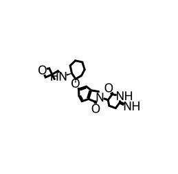 CC1(CN[C@H]2CCCCC[C@@H]2Oc2ccc3c(c2)CN(C2CCC(=N)NC2=O)C3=O)COC1